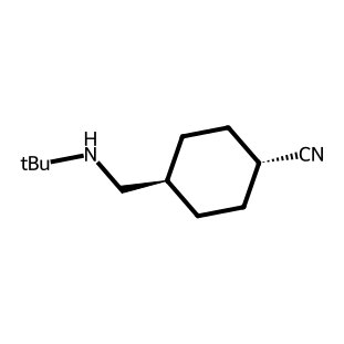 CC(C)(C)NC[C@H]1CC[C@H](C#N)CC1